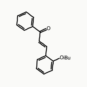 CC(C)COc1ccccc1C=CC(=O)c1ccccc1